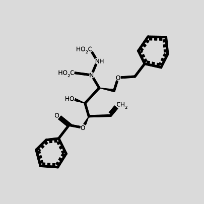 C=C[C@@H](OC(=O)c1ccccc1)[C@@H](O)[C@H](COCc1ccccc1)N(NC(=O)O)C(=O)O